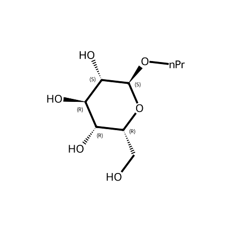 CCCO[C@H]1O[C@H](CO)[C@H](O)[C@@H](O)[C@@H]1O